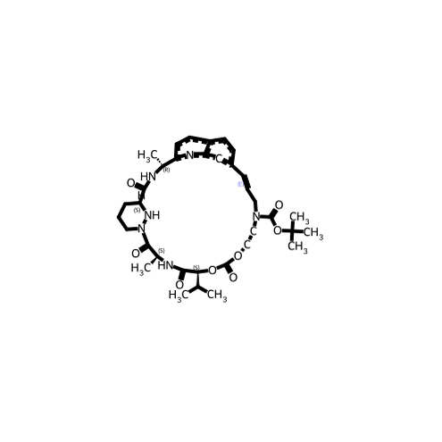 CC(C)[C@@H]1OC(=O)OCCN(C(=O)OC(C)(C)C)C/C=C/c2ccc3ccc(nc3c2)[C@@H](C)NC(=O)[C@@H]2CCCN(N2)C(=O)[C@H](C)NC1=O